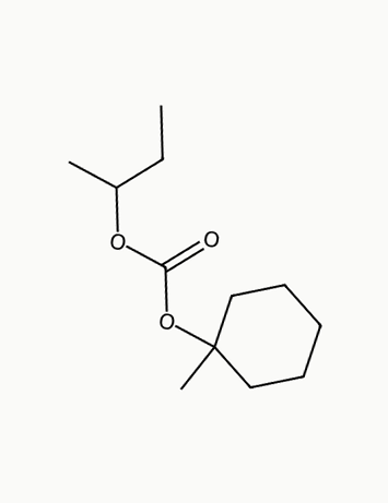 CCC(C)OC(=O)OC1(C)CCCCC1